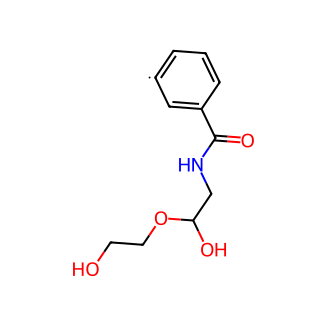 O=C(NCC(O)OCCO)c1c[c]ccc1